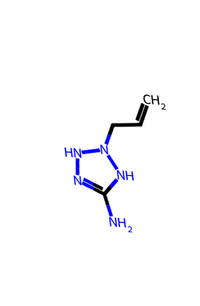 C=CCN1NN=C(N)N1